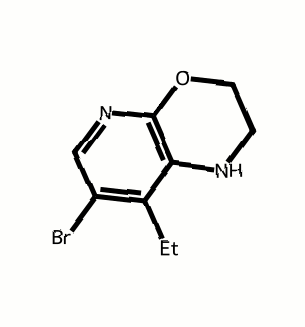 CCc1c(Br)cnc2c1NCCO2